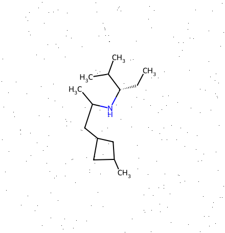 CC[C@H](NC(C)CC1CC(C)C1)C(C)C